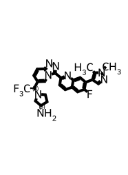 Cc1c(-c2cc3nc(-c4nnc5ccc([C@@H](N6CC[C@H](N)C6)C(F)(F)F)cn45)ccc3cc2F)cnn1C